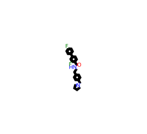 O=C(NCCc1ccc(CN2CCCC2)cc1)c1ccc(-c2ccc(F)cc2)cc1F